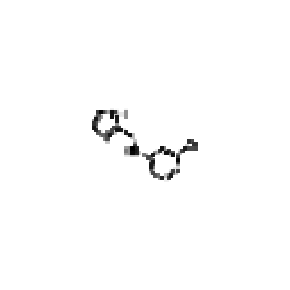 CCc1cccc(NCc2ncc[nH]2)c1